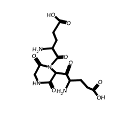 NC(CCC(=O)O)C(=O)C1C(=O)NCC(=O)N1C(=O)C(N)CCC(=O)O